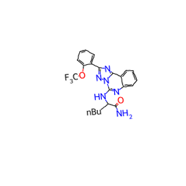 CCCCC(Nc1nc2ccccc2c2nc(-c3ccccc3OC(F)(F)F)nn12)C(N)=O